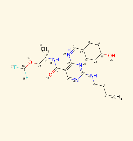 CCCCNc1ncc(C(=O)N[C@@H](C)COC(F)F)c(/N=C\C2CCC(O)CC2)n1